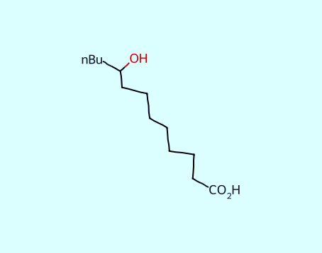 CCCCC(O)CCCCCCCC(=O)O